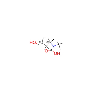 CC(C)(C)N(C(=O)O)[C@@]1(C)CC[C@@H](CO)C1(C)C